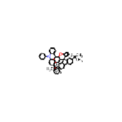 CC(C)(C)c1ccc2c(c1)C1(c3ccccc3Oc3c(-c4ccccc4N(c4ccccc4)c4ccc(-c5ccccc5)cc4)cccc31)c1cc(C(C)(C)C)ccc1-2